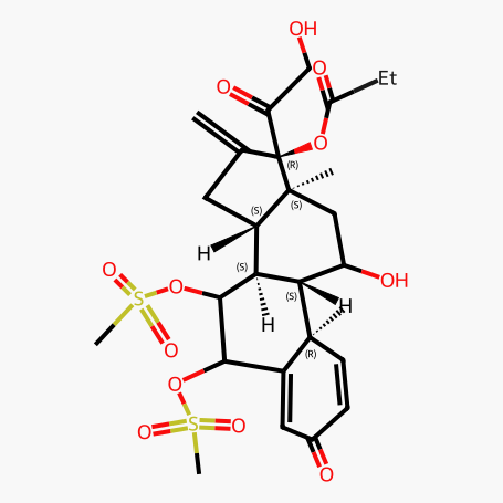 C=C1C[C@H]2[C@@H]3C(OS(C)(=O)=O)C(OS(C)(=O)=O)C4=CC(=O)C=C[C@]4(C)[C@H]3C(O)C[C@]2(C)[C@@]1(OC(=O)CC)C(=O)CO